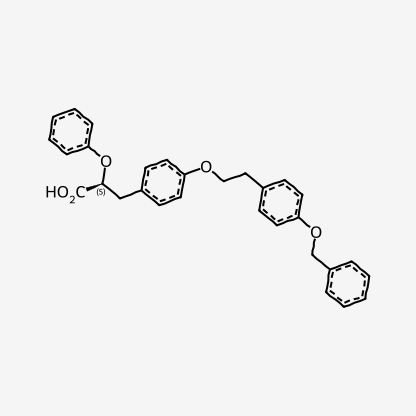 O=C(O)[C@H](Cc1ccc(OCCc2ccc(OCc3ccccc3)cc2)cc1)Oc1ccccc1